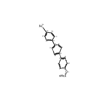 CCCCCCOc1ccc(-c2ccc(-c3ccc(C(C)=O)cc3)cc2)cc1